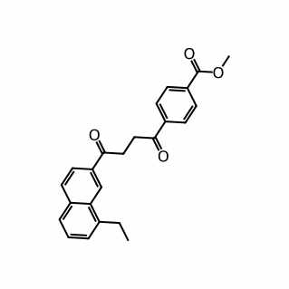 CCc1cccc2ccc(C(=O)CCC(=O)c3ccc(C(=O)OC)cc3)cc12